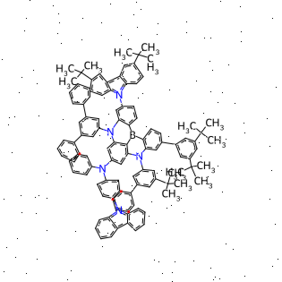 CC(C)(C)c1cc(-c2ccccc2)cc(N2c3cc(-c4cc(C(C)(C)C)cc(C(C)(C)C)c4)ccc3B3c4ccc(-n5c6ccc(C(C)(C)C)cc6c6cc(C(C)(C)C)ccc65)cc4N(c4cc(-c5ccccc5)cc(-c5ccccc5)c4)c4cc(N(c5ccccc5)c5ccc(-n6c7ccccc7c7ccccc76)cc5)cc2c43)c1